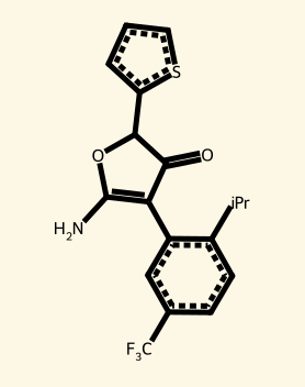 CC(C)c1ccc(C(F)(F)F)cc1C1=C(N)OC(c2cccs2)C1=O